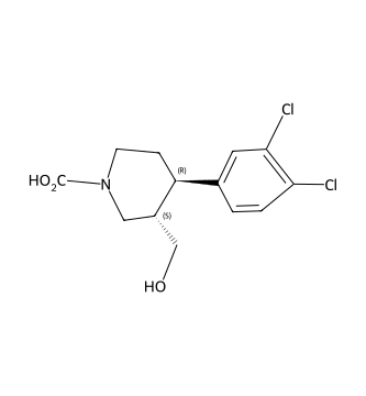 O=C(O)N1CC[C@@H](c2ccc(Cl)c(Cl)c2)[C@H](CO)C1